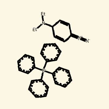 CCN(CC)C1C=CC(=[N+]=[N-])C=C1.c1ccc([B-](c2ccccc2)(c2ccccc2)c2ccccc2)cc1